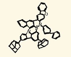 c1ccc(-c2ccc(N3B4c5c(cc6ccccc6c5-n5c6ccc(C78CC9CC%10CC(C7)C%109C8)cc6c6cc(C78CC9CC(CC(C9)C7)C8)cc4c65)-c4cc5c(cc43)oc3ccccc35)cc2)cc1